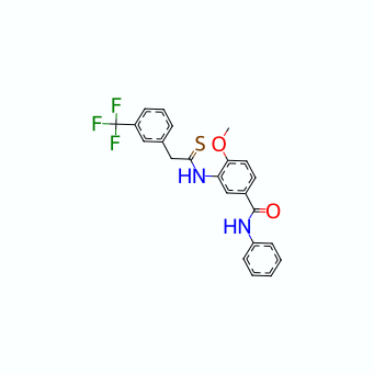 COc1ccc(C(=O)Nc2ccccc2)cc1NC(=S)Cc1cccc(C(F)(F)F)c1